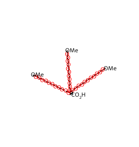 COCCOCCOCCOCCOCCOCCOCCOCCOCCOCCOCCOc1cc(C(=O)O)c(C)c(OCCOCCOCCOCCOCCOCCOCCOCCOCCOCCOCCOC)c1OCCOCCOCCOCCOCCOCCOCCOCCOCCOCCOCCOC